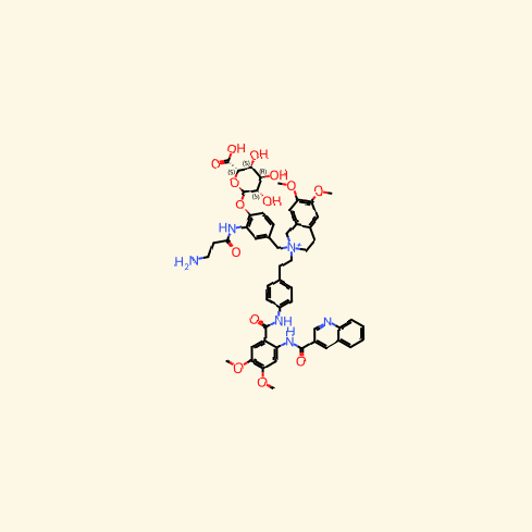 COc1cc2c(cc1OC)C[N+](CCc1ccc(NC(=O)c3cc(OC)c(OC)cc3NC(=O)c3cnc4ccccc4c3)cc1)(Cc1ccc(OC3O[C@H](C(=O)O)[C@@H](O)[C@@H](O)[C@@H]3O)c(NC(=O)CCN)c1)CC2